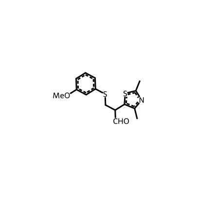 COc1cccc(SCC(C=O)c2sc(C)nc2C)c1